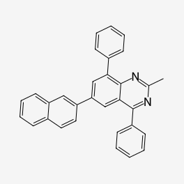 Cc1nc(-c2ccccc2)c2cc(-c3ccc4ccccc4c3)cc(-c3ccccc3)c2n1